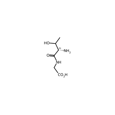 CC(O)[C@H](N)C(=O)NCC(=O)O